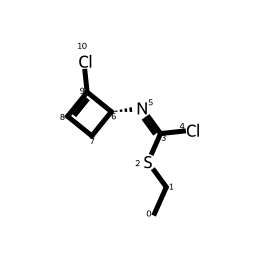 CCS/C(Cl)=N\[C@@H]1CC=C1Cl